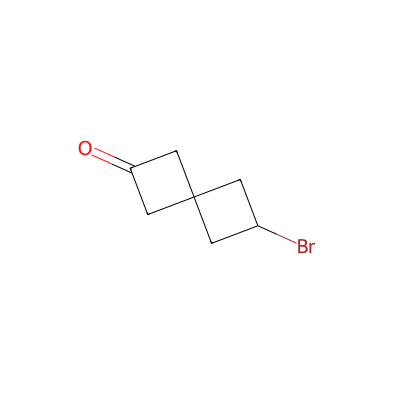 O=C1CC2(C1)CC(Br)C2